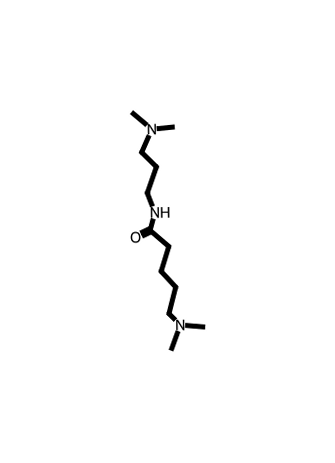 CN(C)CCCCC(=O)NCCCN(C)C